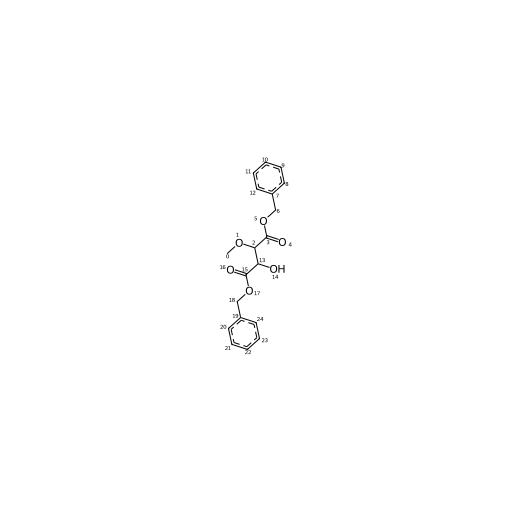 COC(C(=O)OCc1ccccc1)C(O)C(=O)OCc1ccccc1